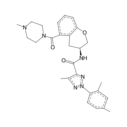 Cc1ccc(-n2nc(C)c(C(=O)N[C@@H]3COc4cccc(C(=O)N5CCN(C)CC5)c4C3)n2)c(C)c1